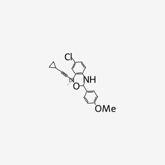 COc1ccc(C2Nc3ccc(Cl)cc3[C@](C)(C#CC3CC3)O2)cc1